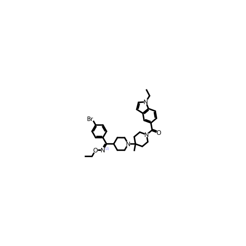 CCO/N=C(\c1ccc(Br)cc1)C1CCN(C2(C)CCN(C(=O)c3ccc4c(ccn4CC)c3)CC2)CC1